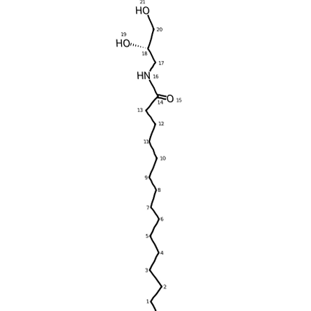 CCCCCCCCCCCCCCC(=O)NC[C@H](O)CO